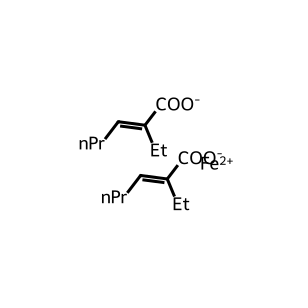 CCC/C=C(\CC)C(=O)[O-].CCC/C=C(\CC)C(=O)[O-].[Fe+2]